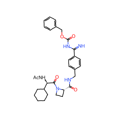 CC(=O)N[C@@H](C(=O)N1CC[C@H]1C(=O)NCc1ccc(C(=N)NC(=O)OCc2ccccc2)cc1)C1CCCCC1